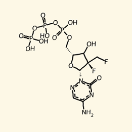 Nc1cnn([C@@H]2O[C@H](COP(=O)(O)OP(=O)(O)OP(=O)(O)O)C(O)[C@]2(F)CF)c(=O)n1